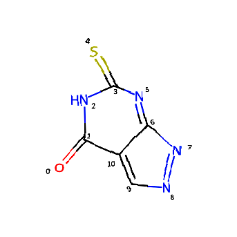 O=C1NC(=S)N=C2N=NC=C12